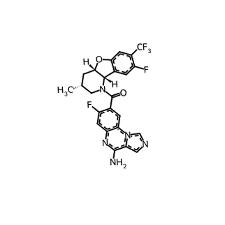 C[C@@H]1C[C@@H]2Oc3cc(C(F)(F)F)c(F)cc3[C@@H]2N(C(=O)c2cc3c(cc2F)nc(N)c2cncn23)C1